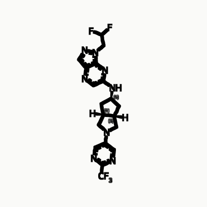 FC(F)Cn1ncc2ncc(N[C@H]3C[C@@H]4CN(c5cnc(C(F)(F)F)nc5)C[C@@H]4C3)nc21